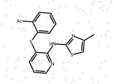 CC(=O)c1ccccc1Sc1cccnc1Nc1nc(C)cs1